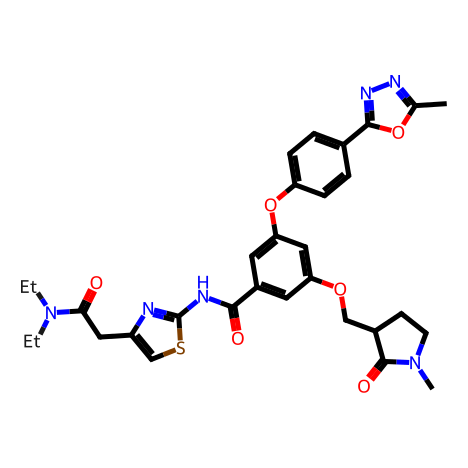 CCN(CC)C(=O)Cc1csc(NC(=O)c2cc(OCC3CCN(C)C3=O)cc(Oc3ccc(-c4nnc(C)o4)cc3)c2)n1